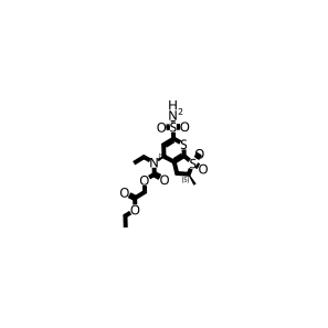 CCOC(=O)COC(=O)N(CC)[C@H]1C=C(S(N)(=O)=O)SC2=C1C[C@H](C)S2(=O)=O